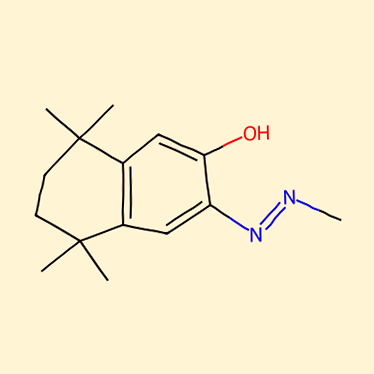 C/N=N/c1cc2c(cc1O)C(C)(C)CCC2(C)C